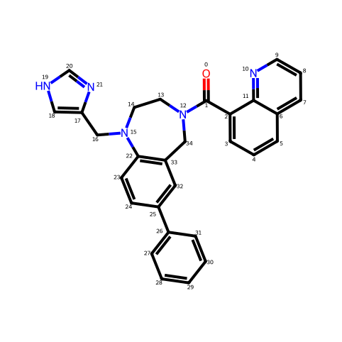 O=C(c1cccc2cccnc12)N1CCN(Cc2c[nH]cn2)c2ccc(-c3ccccc3)cc2C1